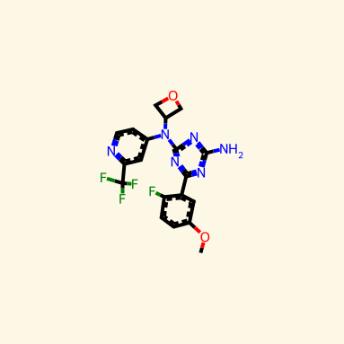 COc1ccc(F)c(-c2nc(N)nc(N(c3ccnc(C(F)(F)F)c3)C3COC3)n2)c1